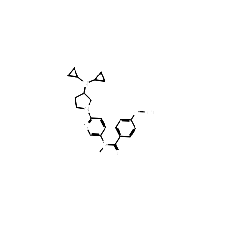 CCCCOc1ccc(C(=O)N(C)c2ccc(N3CCC(N(C4CC4)C4CC4)C3)nc2)cc1